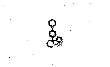 SN1CCCCC1(c1ccc(N2CCCCC2)cc1)c1ccsc1